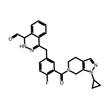 O=CC1NN=C(Cc2ccc(F)c(C(=O)N3CCc4cnn(C5CC5)c4C3)c2)c2ccccc21